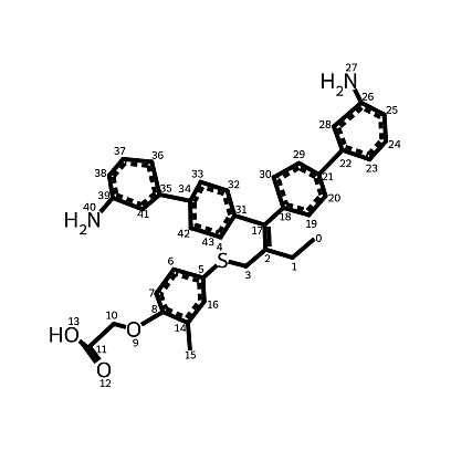 CCC(CSc1ccc(OCC(=O)O)c(C)c1)=C(c1ccc(-c2cccc(N)c2)cc1)c1ccc(-c2cccc(N)c2)cc1